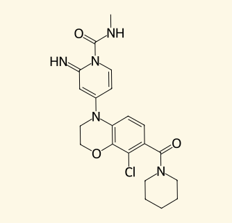 CNC(=O)n1ccc(N2CCOc3c2ccc(C(=O)N2CCCCC2)c3Cl)cc1=N